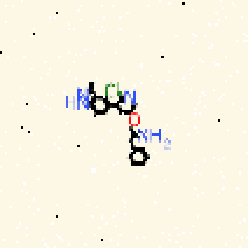 Cc1n[nH]c2ccc(-c3cc(OC[C@@H](N)Cc4ccccc4)cnc3Cl)cc12